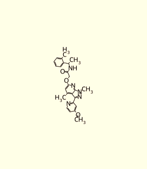 COc1ccnc(-c2nn(C)c3nc(OCC(=O)NC(C)c4ccccc4C)cc(C)c23)c1